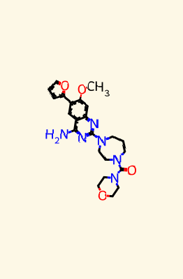 COc1cc2nc(N3CCCN(C(=O)N4CCOCC4)CC3)nc(N)c2cc1-c1ccco1